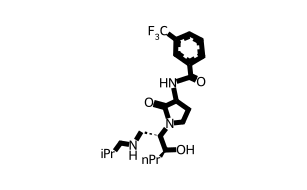 CCC[C@H](O)[C@H](CNCC(C)C)N1CCC(NC(=O)c2cccc(C(F)(F)F)c2)C1=O